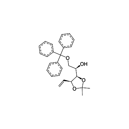 C=C[C@@H]1OC(C)(C)O[C@@H]1[C@H](O)COC(c1ccccc1)(c1ccccc1)c1ccccc1